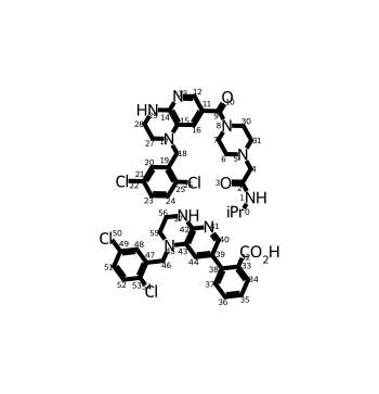 CC(C)NC(=O)CN1CCN(C(=O)c2cnc3c(c2)N(Cc2cc(Cl)ccc2Cl)CCN3)CC1.O=C(O)c1ccccc1-c1cnc2c(c1)N(Cc1cc(Cl)ccc1Cl)CCN2